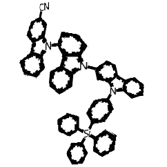 N#Cc1ccc2c3ccccc3n(-c3cccc4c3c3ccccc3n4-c3ccc4c5ccccc5n(-c5ccc([Si](c6ccccc6)(c6ccccc6)c6ccccc6)cc5)c4c3)c2c1